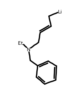 [Li][CH2]C=CCN(CC)Cc1ccccc1